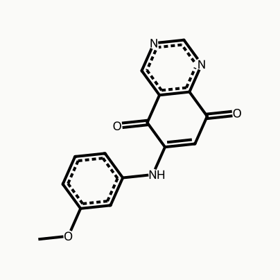 COc1cccc(NC2=CC(=O)c3ncncc3C2=O)c1